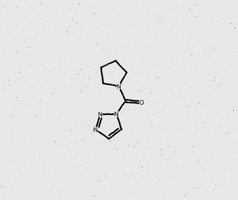 O=C(N1CCCC1)n1ccnn1